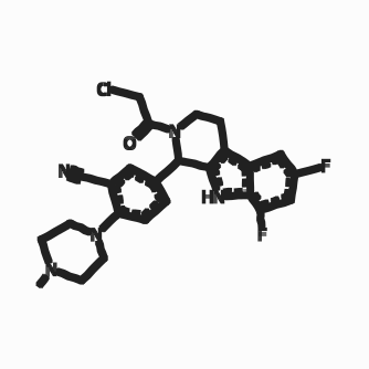 CN1CCN(c2ccc(C3c4[nH]c5c(F)cc(F)cc5c4CCN3C(=O)CCl)cc2C#N)CC1